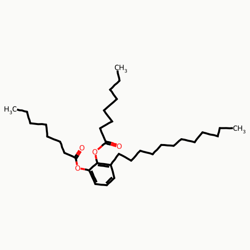 CCCCCCCCCCCCc1cccc(OC(=O)CCCCCCC)c1OC(=O)CCCCCCC